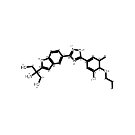 CCCOC1C(Cl)=CC(c2nc(-c3ccc4oc(C(N)(CO)CO)cc4c3)no2)=CC1C